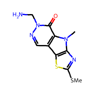 CSc1nc2c(s1)c1cnn(CN)c(=O)c1n2C